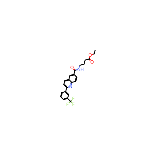 CCOC(=O)CCCNC(=O)c1ccc2nc(-c3cccc(C(F)(F)F)c3)ccc2c1